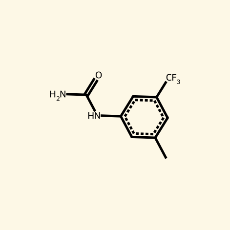 Cc1cc(NC(N)=O)cc(C(F)(F)F)c1